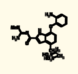 CNC(N)=NC(=O)c1cc2c(C)ccc(Oc3ccccc3N)c2[nH]1.CS(=O)(=O)O.CS(=O)(=O)O